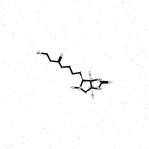 CC(C)(C)CCC(=O)CCCC[C@H]1[C@H]2NC(=O)N[C@H]2C[S+]1[O-]